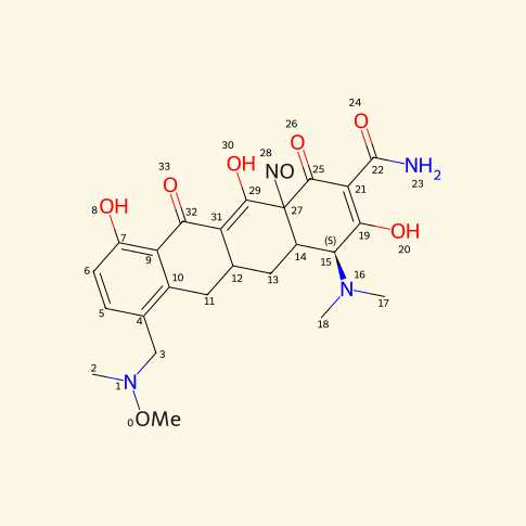 CON(C)Cc1ccc(O)c2c1CC1CC3[C@H](N(C)C)C(O)=C(C(N)=O)C(=O)C3(N=O)C(O)=C1C2=O